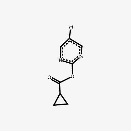 O=C(Oc1ncc(Cl)cn1)C1CC1